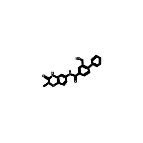 CC1Oc2ccc(NC(=O)c3ccc(-c4ccccc4)c(CO)c3)cc2NC1=O